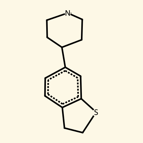 c1cc2c(cc1C1CC[N]CC1)SCC2